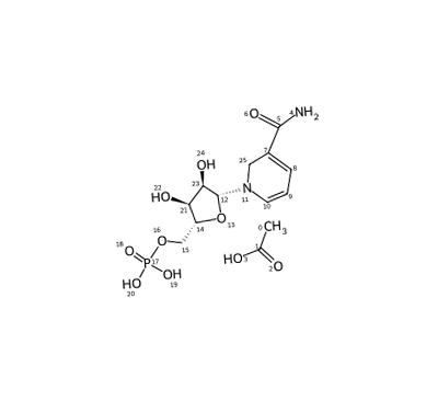 CC(=O)O.NC(=O)C1=CC=CN([C@@H]2O[C@H](COP(=O)(O)O)[C@@H](O)[C@H]2O)C1